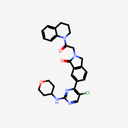 O=C1c2cc(-c3nc(NC4CCOCC4)ncc3Cl)ccc2CN1CC(=O)N1CCCc2ccccc21